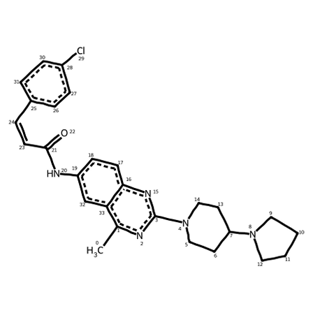 Cc1nc(N2CCC(N3CCCC3)CC2)nc2ccc(NC(=O)/C=C\c3ccc(Cl)cc3)cc12